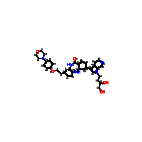 O=C1Nc2cc(CCOc3ccc(N4CCOCC4)cc3)ccc2Nc2cc(-c3cn(CCC(O)CO)c4cnccc34)ccc21